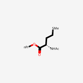 CCCOC(=O)[C@H](CCSC)NC(C)=O